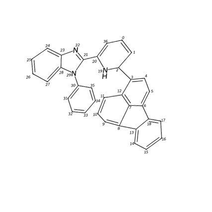 C1=CC(c2ccc3c4c(cccc24)-c2ccccc2-3)NC(c2nc3ccccc3n2-c2ccccc2)=C1